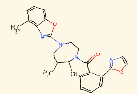 Cc1cccc2oc(N3CCN(C(=O)c4ccccc4-c4ncco4)C(C)C(C)C3)nc12